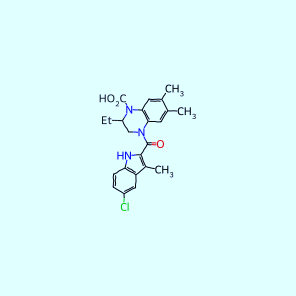 CCC1CN(C(=O)c2[nH]c3ccc(Cl)cc3c2C)c2cc(C)c(C)cc2N1C(=O)O